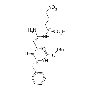 CC(C)(C)OC(=O)N[C@H](Cc1ccccc1)C(=O)NN=C(N)N[C@@H](CCC[N+](=O)[O-])C(=O)O